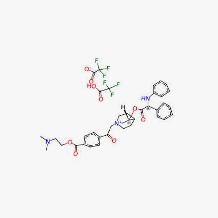 CN(C)CCOC(=O)c1ccc(C(=O)C[N+]23CCC(CC2)[C@@H](OC(=O)[C@H](Nc2ccccc2)c2ccccc2)C3)cc1.O=C(O)C(F)(F)F.O=C([O-])C(F)(F)F